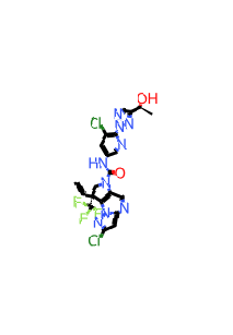 C=C[C@@]1(C(F)(F)F)CN(C(=O)Nc2cnc(-n3ncc([C@H](C)O)n3)c(Cl)c2)c2cnc3cc(Cl)nn3c21